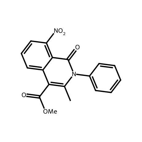 COC(=O)c1c(C)n(-c2ccccc2)c(=O)c2c([N+](=O)[O-])cccc12